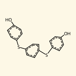 Oc1ccc(Sc2ccc(Sc3ccc(O)cc3)cc2)cc1